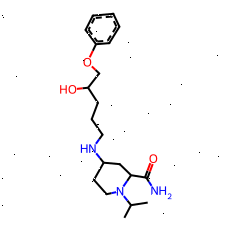 CC(C)N1CCC(NCCCC(O)COc2ccccc2)CC1C(N)=O